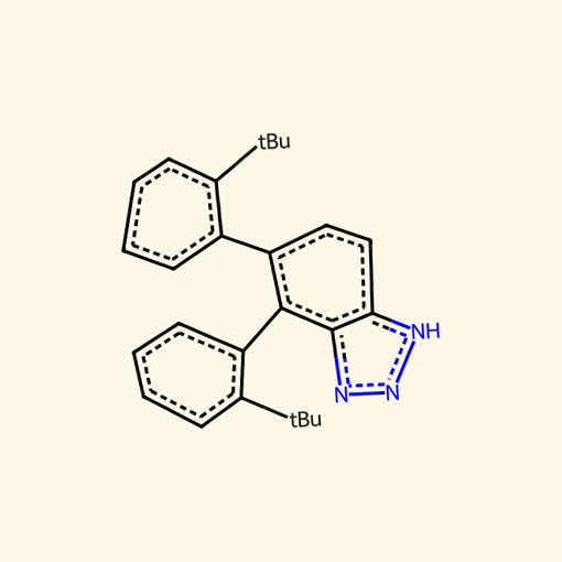 CC(C)(C)c1ccccc1-c1ccc2[nH]nnc2c1-c1ccccc1C(C)(C)C